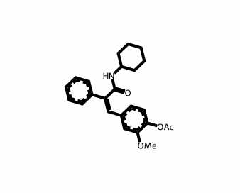 COc1cc(/C=C(\C(=O)NC2CCCCC2)c2ccccc2)ccc1OC(C)=O